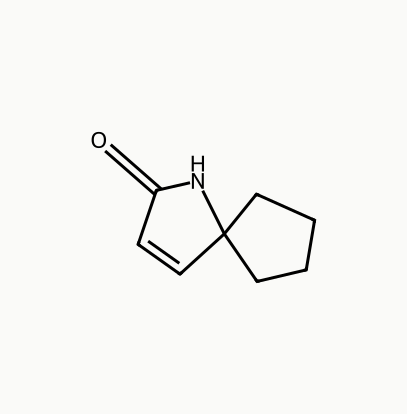 O=C1C=CC2(CCCC2)N1